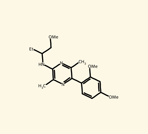 CCC(COC)Nc1nc(C)c(-c2ccc(OC)cc2OC)nc1C